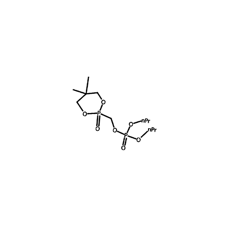 CCCOP(=O)(OCCC)OCP1(=O)OCC(C)(C)CO1